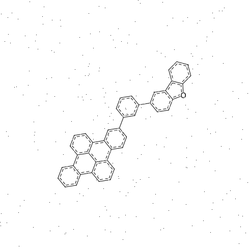 c1cc(-c2ccc3oc4ccccc4c3c2)cc(-c2ccc3c(c2)c2cccc4c5ccccc5c5cccc3c5c42)c1